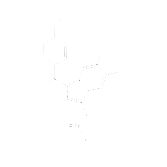 Cc1c(CC(=O)NC(C)C)c2cc(O)c(Cl)cc2n1C(=O)c1ccc(OC(F)(F)F)cc1